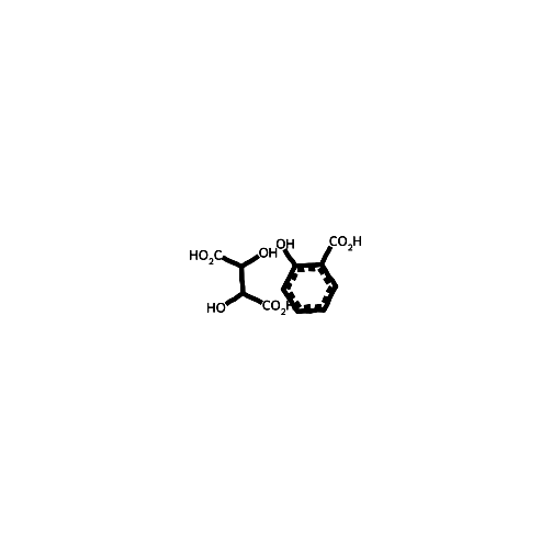 O=C(O)C(O)C(O)C(=O)O.O=C(O)c1ccccc1O